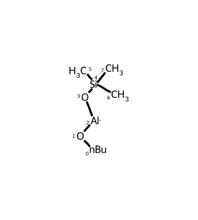 CCCC[O][Al][O][Si](C)(C)C